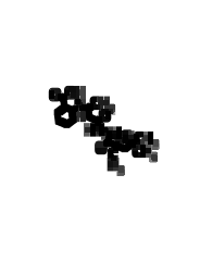 C=C(CC(=O)NNC(=O)C(C)(C)CC(C)(C)C)Nc1ccccc1C(=O)O